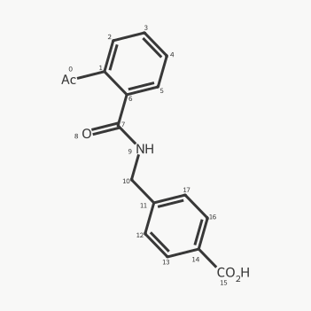 CC(=O)c1ccccc1C(=O)NCc1ccc(C(=O)O)cc1